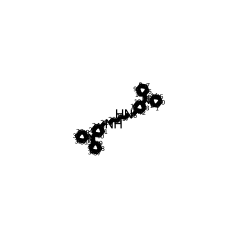 c1ccc(N(c2ccccc2)c2ccc(CNCCCCNCc3ccc(N(c4ccccc4)c4ccccc4)cc3)cc2)cc1